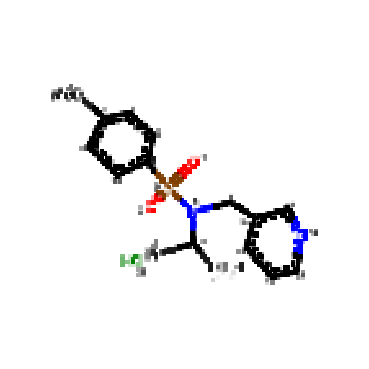 COc1ccc(S(=O)(=O)N(Cc2cccnc2)C(C(=O)O)C(C)C)cc1.Cl